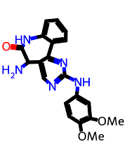 COc1ccc(Nc2ncc3c(n2)-c2ccccc2NC(=O)C3N)cc1OC